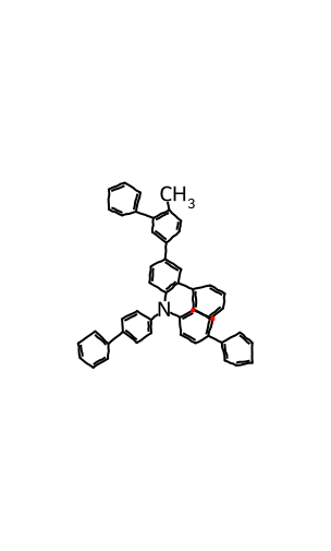 Cc1ccc(-c2ccc(N(c3ccc(-c4ccccc4)cc3)c3ccc(-c4ccccc4)cc3)c(-c3ccccc3)c2)cc1-c1ccccc1